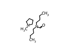 CCCCN(C=O)CCCC.CN1CCCC1